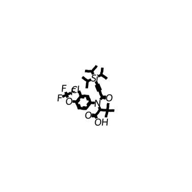 CC(C)[Si](C#CC(=O)N(c1ccc(OC(F)(F)F)c(Cl)c1)C(C(=O)O)C(C)(C)C)(C(C)C)C(C)C